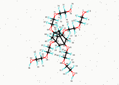 FOC(F)(F)C(F)(F)OC(F)(F)C(F)(F)OC12C(F)(F)C3(OC(F)(F)C(F)(F)OC(F)(F)C(F)(F)OF)C(F)(F)C(OC(F)(F)C(F)(F)OC(F)(F)C(F)(F)OF)(C1(F)F)C(F)(F)C(OC(F)(F)C(F)(F)OC(F)(F)C(F)(F)OF)(C2(F)F)C3(F)F